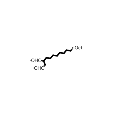 CCCCCCCCCCCCCCCCC([C]=O)C[C]=O